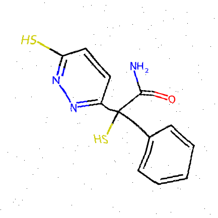 NC(=O)C(S)(c1ccccc1)c1ccc(S)nn1